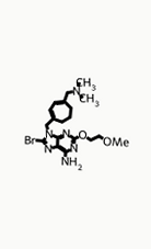 COCCOc1nc(N)c2nc(Br)n(CC3=CC=C(CN(C)C)CCC3)c2n1